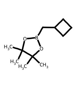 CC1(C)OB(CC2CCC2)OC1(C)C